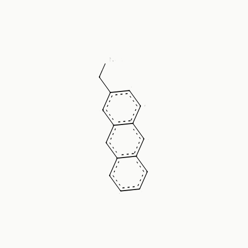 CCCCCCCCCCc1[c]c2cc3ccccc3cc2cc1